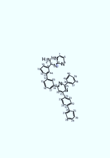 NC(/N=c1/nccc[nH]1)c1cccc(-c2cccc(-c3cc(-c4ccc(-c5ccccc5)cc4)nc(-c4ccccc4)n3)c2)c1